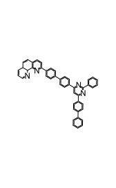 C1=CC2C=Cc3ccc(-c4ccc(-c5ccc(-c6cc(-c7ccc(-c8ccccc8)cc7)nc(-c7ccccc7)n6)cc5)cc4)nc3C2N=C1